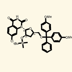 COc1ccc(C(OC[C@H]2[CH][C@@H](O[Si](C)(C)C(C)(C)C)[C@H](n3c(=O)[nH]c(=O)c4ccc(Cl)cc43)O2)(c2ccccc2)c2ccc(OC)cc2)cc1